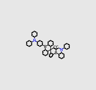 c1ccc(N(c2ccccc2)c2ccc(B3c4ccccc4C4(c5ccccc53)c3ccccc3B3c5ccccc5N(c5ccccc5)c5cccc4c53)cc2)cc1